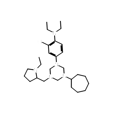 CCN(CC)c1ccc(N2CN(CC3CCCN3CC)CN(C3CCCCCC3)C2)cc1Cl